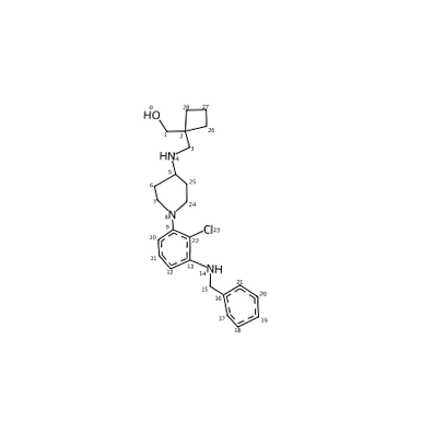 OCC1(CNC2CCN(c3cccc(NCc4ccccc4)c3Cl)CC2)CCC1